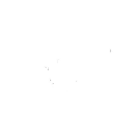 Fc1ccc(Cn2cccn2)c(F)c1